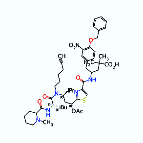 C#CCCCCN(C(=O)[C@@H](NC(=O)C1CCCCN1C)[C@@H](C)CC)[C@H](C[C@@H](OC(C)=O)c1nc(C(=O)NC(Cc2ccc(OCc3ccccc3)c([N+](=O)[O-])c2)CC(C)(C)C(=O)O)cs1)C(C)C